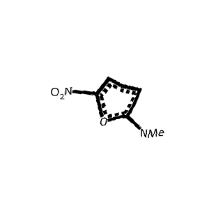 CNc1ccc([N+](=O)[O-])o1